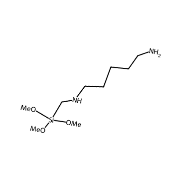 CO[Si](CNCCCCCN)(OC)OC